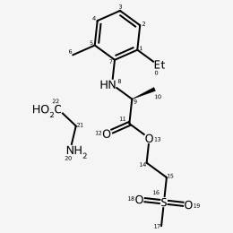 CCc1cccc(C)c1N[C@@H](C)C(=O)OCCS(C)(=O)=O.NCC(=O)O